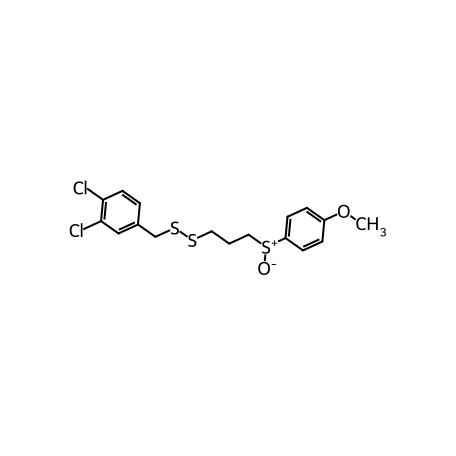 COc1ccc([S+]([O-])CCCSSCc2ccc(Cl)c(Cl)c2)cc1